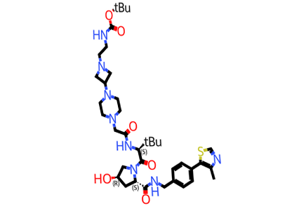 Cc1ncsc1-c1ccc(CNC(=O)[C@@H]2C[C@@H](O)CN2C(=O)[C@@H](NC(=O)CN2CCN(C3CN(CCNC(=O)OC(C)(C)C)C3)CC2)C(C)(C)C)cc1